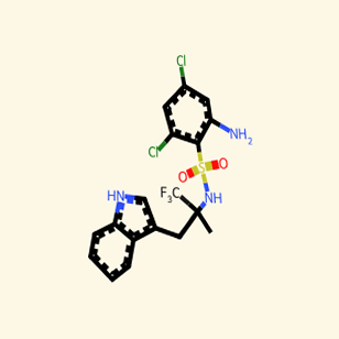 CC(Cc1c[nH]c2ccccc12)(NS(=O)(=O)c1c(N)cc(Cl)cc1Cl)C(F)(F)F